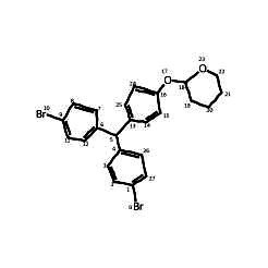 Brc1ccc(C(c2ccc(Br)cc2)c2ccc(OC3CCCCO3)cc2)cc1